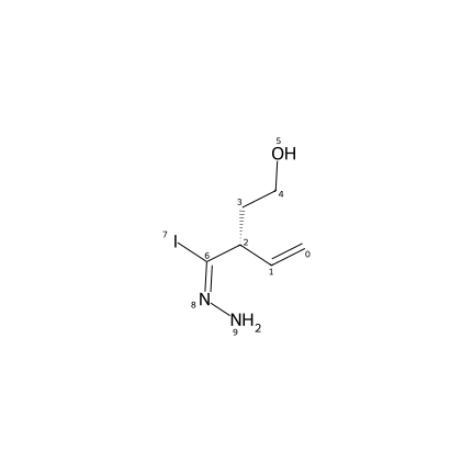 C=C[C@@H](CCO)/C(I)=N\N